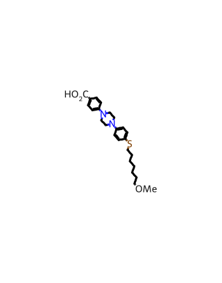 COCCCCCCCSc1ccc(N2CCN(c3ccc(C(=O)O)cc3)CC2)cc1